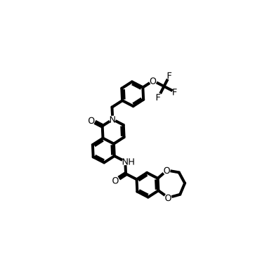 O=C(Nc1cccc2c(=O)n(Cc3ccc(OC(F)(F)F)cc3)ccc12)c1ccc2c(c1)OCCCO2